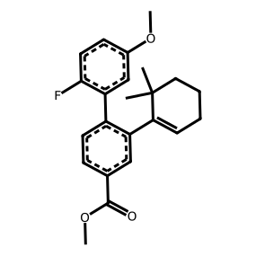 COC(=O)c1ccc(-c2cc(OC)ccc2F)c(C2=CCCCC2(C)C)c1